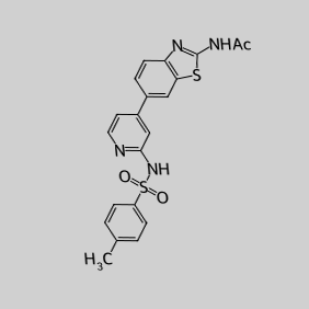 CC(=O)Nc1nc2ccc(-c3ccnc(NS(=O)(=O)c4ccc(C)cc4)c3)cc2s1